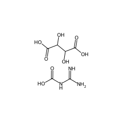 N=C(N)NC(=O)O.O=C(O)C(O)C(O)C(=O)O